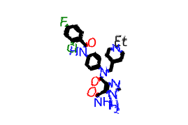 CCN1CCC(CN(C(=O)c2nc[nH]c2C(N)=O)c2ccc(NC(=O)c3ccc(F)cc3Cl)cc2)CC1